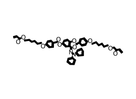 C=CC(=O)COCCCCCCOc1ccc(C(=O)Oc2ccc(OC(=O)c3ccc(OCCCCCCOC(=O)C=C)cc3)cc2/C=N/N(c2ccccc2)c2ccccc2)cc1